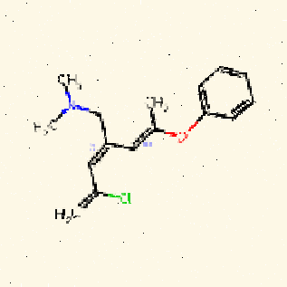 C=C(Cl)/C=C(\C=C(/C)Oc1ccccc1)CN(C)C